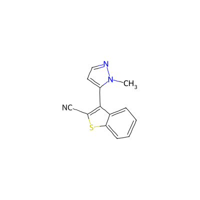 Cn1nccc1-c1c(C#N)sc2ccccc12